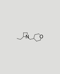 CCC1CCN1CC1CCOCC1